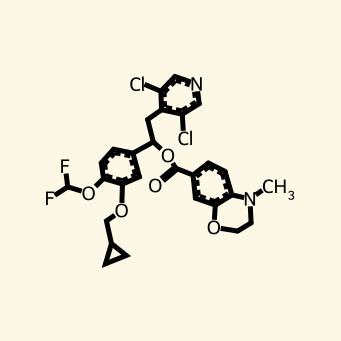 CN1CCOc2cc(C(=O)OC(Cc3c(Cl)cncc3Cl)c3ccc(OC(F)F)c(OCC4CC4)c3)ccc21